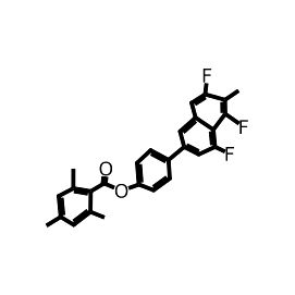 Cc1cc(C)c(C(=O)Oc2ccc(-c3cc(F)c4c(F)c(C)c(F)cc4c3)cc2)c(C)c1